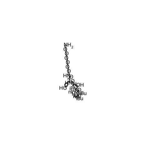 CCCN(C(=O)[C@@H](NC(=O)[C@@H]([C@@H](C)CC)N(C)C)[C@@H](C)CC)[C@H](C[C@@H](O)c1nc(C(=O)N[C@@H](Cc2ccc(O)cc2)C[C@H](C)C(=O)NCCOCCOCCOCCOCCOCCOCCN)cs1)C(C)C